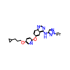 CC(C)n1ncc(Nc2ncnc3ccc(Oc4ccc(OCCCC5CC5)cn4)cc23)n1